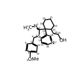 CN=C(SCc1ccc(OC)cc1)C1(c2cccnc2)CCCCC1CCO